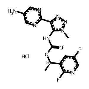 C[C@@H](OC(=O)Nc1c(-c2ncc(N)cn2)nnn1C)c1cc(F)cnc1F.Cl